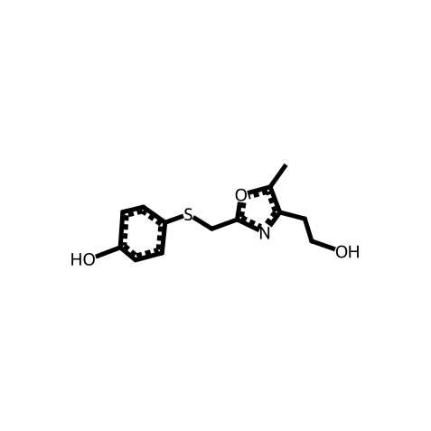 Cc1oc(CSc2ccc(O)cc2)nc1CCO